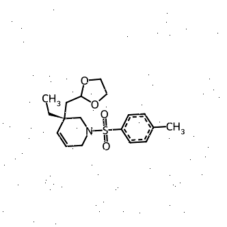 CC[C@]1(CC2OCCO2)C=CCN(S(=O)(=O)c2ccc(C)cc2)C1